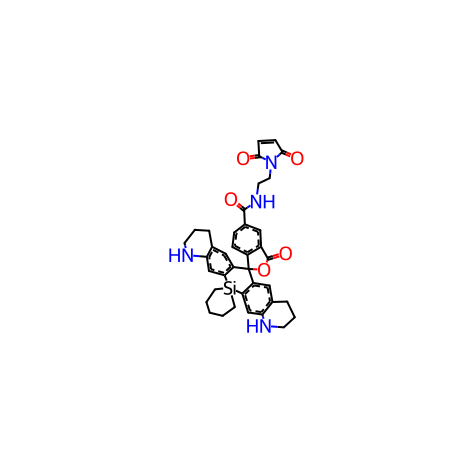 O=C(NCCN1C(=O)C=CC1=O)c1ccc2c(c1)C(=O)OC21c2cc3c(cc2[Si]2(CCCCC2)c2cc4c(cc21)CCCN4)NCCC3